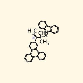 C/C=C(/c1ccc2c3ccccc3c3ccccc3c2c1)C(C)(C)Cn1c2ccccc2c2ccccc21